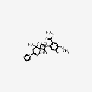 CCC1(C(=O)Nc2cc(F)c(OC)cc2C(=O)OC)NN=C(n2ccnc2)CC1(C)C